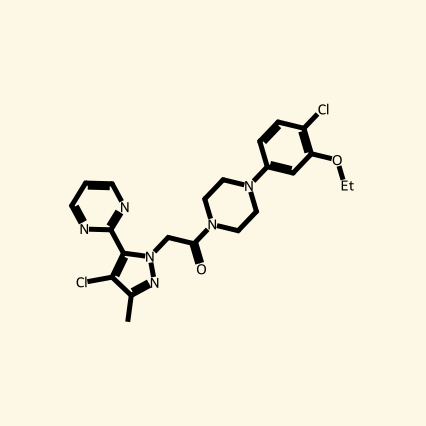 CCOc1cc(N2CCN(C(=O)Cn3nc(C)c(Cl)c3-c3ncccn3)CC2)ccc1Cl